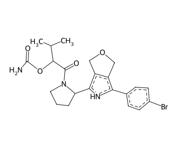 CC(C)C(OC(N)=O)C(=O)N1CCCC1c1[nH]c(-c2ccc(Br)cc2)c2c1COC2